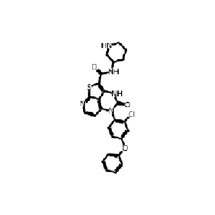 O=C(NC1CCCNC1)c1sc2nccc3c2c1NC(=O)N3c1ccc(Oc2ccccc2)cc1Cl